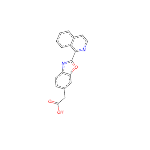 O=C(O)Cc1ccc2nc(-c3nccc4ccccc34)oc2c1